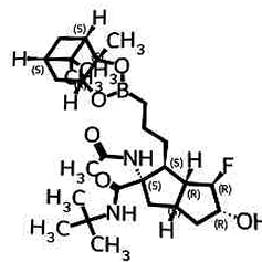 CC(=O)N[C@@]1(C(=O)NC(C)(C)C)C[C@H]2C[C@@H](O)[C@H](F)[C@H]2[C@@H]1CCCB1O[C@@H]2C[C@@H]3C[C@@H](C3(C)C)[C@]2(C)O1